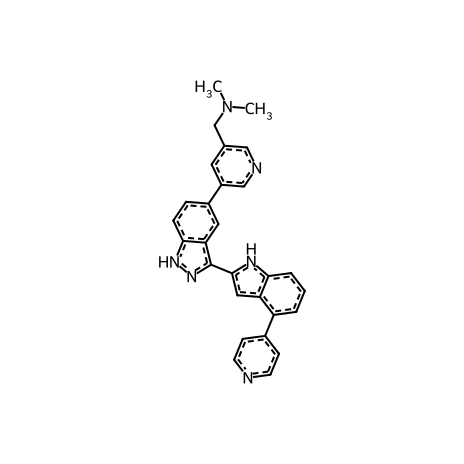 CN(C)Cc1cncc(-c2ccc3[nH]nc(-c4cc5c(-c6ccncc6)cccc5[nH]4)c3c2)c1